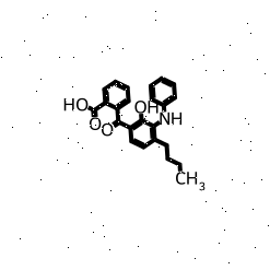 CCCCc1ccc(C(=O)c2ccccc2C(=O)O)c(O)c1Nc1ccccc1